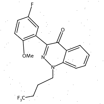 COc1ccc(F)cc1-c1nn(CCCC(F)(F)F)c2ccccc2c1=O